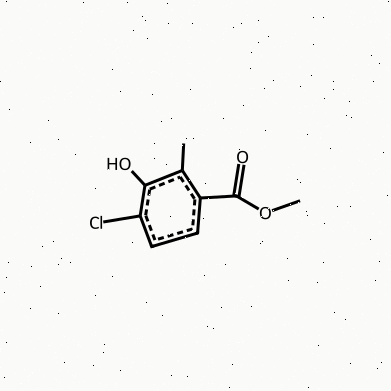 COC(=O)c1ccc(Cl)c(O)c1C